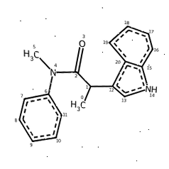 CC(C(=O)N(C)c1ccccc1)c1c[nH]c2ccccc12